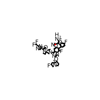 N#Cc1c(N)sc2c(F)ccc(-c3c(Cl)cc4c(N5CC[C@@]6(CCN6C(=O)n6cnc(C(F)F)n6)C5)nc(OC[C@@]56CCCN5C[C@H](F)C6)nc4c3F)c12